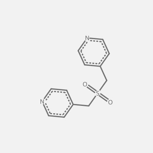 O=S(=O)(Cc1ccncc1)Cc1ccncc1